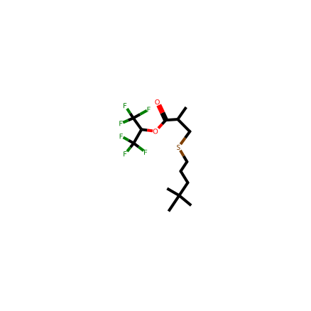 CC(CSCCCC(C)(C)C)C(=O)OC(C(F)(F)F)C(F)(F)F